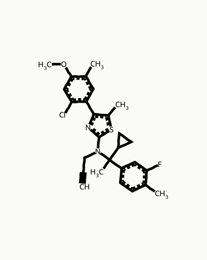 C#CCN(c1nc(-c2cc(C)c(OC)cc2Cl)c(C)s1)C(C)(c1ccc(C)c(F)c1)C1CC1